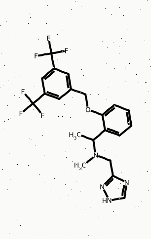 CC(c1ccccc1OCc1cc(C(F)(F)F)cc(C(F)(F)F)c1)N(C)Cc1nc[nH]n1